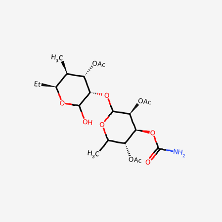 CC[C@@H]1OC(O)[C@@H](OC2OC(C)[C@@H](OC(C)=O)[C@H](OC(N)=O)[C@@H]2OC(C)=O)[C@@H](OC(C)=O)[C@@H]1C